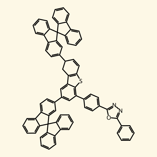 C1=CC(c2ccc3c(c2)C2(c4ccccc4-c4ccccc42)c2ccccc2-3)Cc2c1sc1c(-c3ccc(-c4nnc(-c5ccccc5)o4)cc3)cc(-c3ccc4c(c3)C3(c5ccccc5-c5ccccc53)c3ccccc3-4)cc21